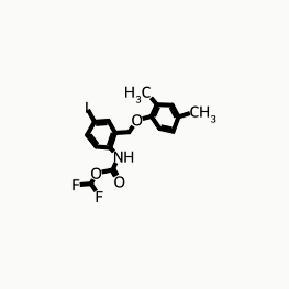 Cc1ccc(OCc2cc(I)ccc2NC(=O)OC(F)F)c(C)c1